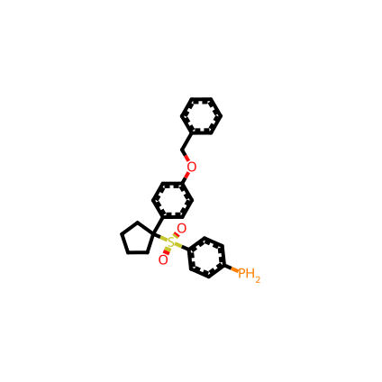 O=S(=O)(c1ccc(P)cc1)C1(c2ccc(OCc3ccccc3)cc2)CCCC1